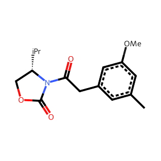 COc1cc(C)cc(CC(=O)N2C(=O)OC[C@@H]2C(C)C)c1